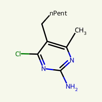 CCCCCCc1c(C)nc(N)nc1Cl